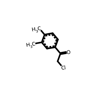 Cc1ccc(C(=O)CCl)cc1C